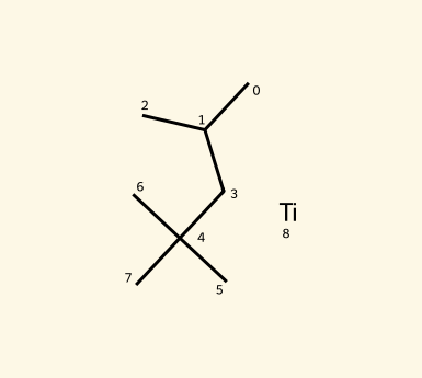 CC(C)CC(C)(C)C.[Ti]